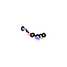 Cn1nc(-c2ccc(OCCCN3CCCCC3)cc2)cc(Cc2ccccc2)c1=O